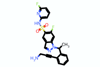 CC(c1ccccc1C#CCN)n1ncc2cc(S(=O)(=O)Nc3cccc(F)n3)c(F)cc21